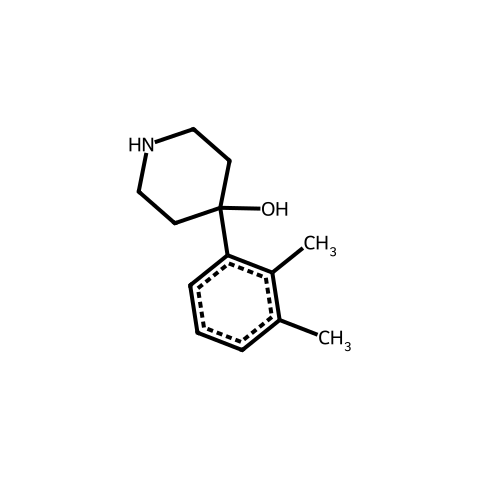 Cc1cccc(C2(O)CCNCC2)c1C